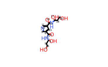 O=C(NC(O)CCO)c1cncc(C(=O)NC(O)CCO)c1